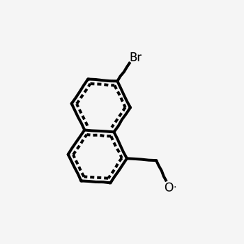 [O]Cc1cccc2ccc(Br)cc12